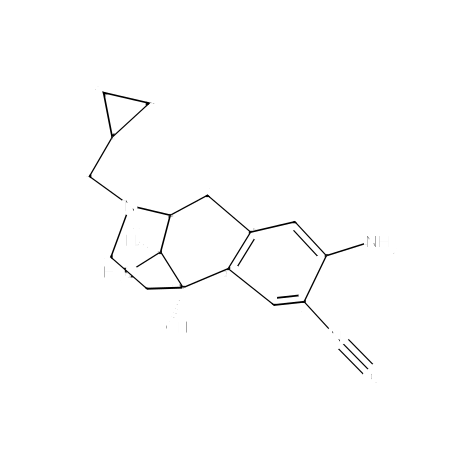 [C-]#[N+]c1cc2c(cc1N)CC1[C@H](C)[C@]2(C)CCN1CC1CC1